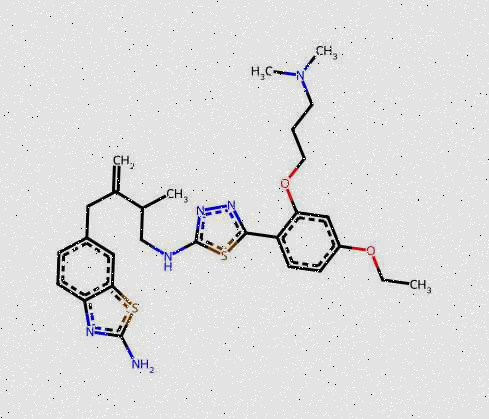 C=C(Cc1ccc2nc(N)sc2c1)C(C)CNc1nnc(-c2ccc(OCC)cc2OCCCN(C)C)s1